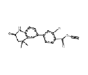 C#COC(=O)c1ccc(-c2ccc3c(c2)C(C)(C)CC(=O)N3)cc1CC